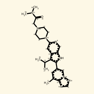 Cc1cc(-c2[nH]c3cnc(N4CCN(CC(=O)N(C)C)CC4)cc3c2C(C)C)cn2ncnc12